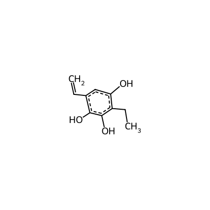 C=Cc1cc(O)c(CC)c(O)c1O